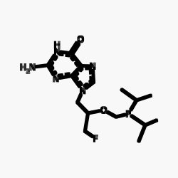 CC(C)P(COC(CF)Cn1cnc2c(=O)[nH]c(N)nc21)C(C)C